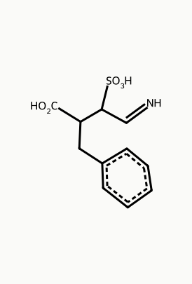 N=CC(C(Cc1ccccc1)C(=O)O)S(=O)(=O)O